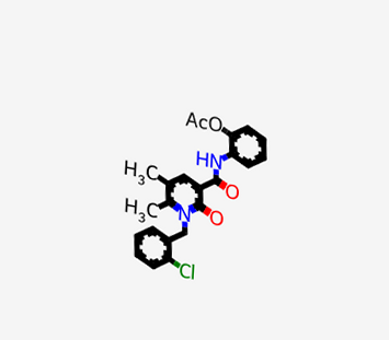 CC(=O)Oc1ccccc1NC(=O)c1cc(C)c(C)n(Cc2ccccc2Cl)c1=O